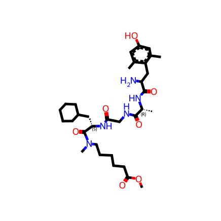 COC(=O)CCCCCN(C)C(=O)[C@H](CC1CCCCC1)NC(=O)CNC(=O)[C@@H](C)NC(=O)C(N)Cc1c(C)cc(O)cc1C